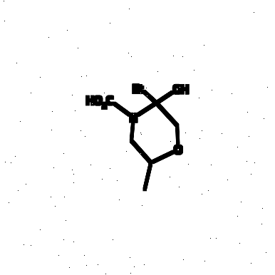 CCC1(O)COC(C)CN1C(=O)O